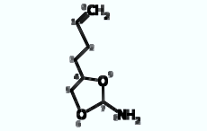 C=CCCC1COC(N)O1